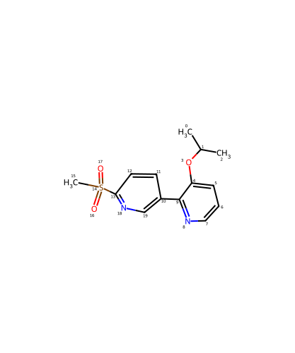 CC(C)Oc1cccnc1-c1ccc(S(C)(=O)=O)nc1